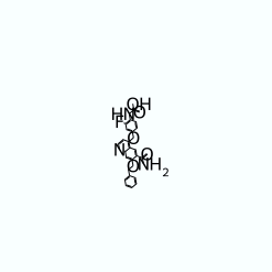 NC(=O)c1cc2c(Oc3ccc(NC(=O)O)c(F)c3)ccnc2cc1OCc1ccccc1